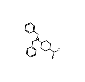 FC(F)[C@H]1CC[C@H](N(Cc2ccccc2)Cc2ccccc2)CC1